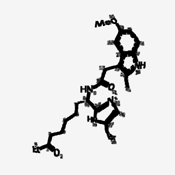 CCC(=O)CCCCC[C@H](NC(=O)Cc1c(C)[nH]c2ccc(OC)cc12)C1=[N+]C=C(Br)N1